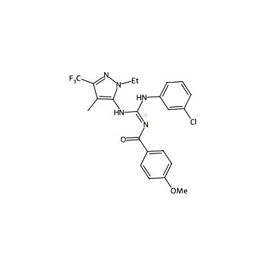 CCn1nc(C(F)(F)F)c(C)c1N/C(=N\C(=O)c1ccc(OC)cc1)Nc1cccc(Cl)c1